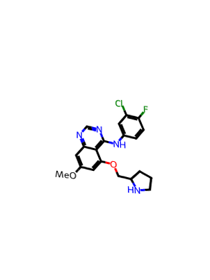 COc1cc(OCC2CCCN2)c2c(Nc3ccc(F)c(Cl)c3)ncnc2c1